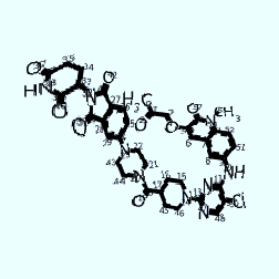 CC(=O)COc1cc2cc(Nc3nc(N4CCC(C(=O)N5CCN(c6ccc7c(c6)C(=O)N(C6CCC(=O)NC6=O)C7=O)CC5)CC4)ncc3Cl)ccc2n(C)c1=O